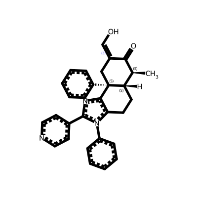 C[C@@H]1C(=O)/C(=C\O)C[C@]2(c3ccccc3)c3nc(-c4ccncc4)n(-c4ccccc4)c3CC[C@@H]12